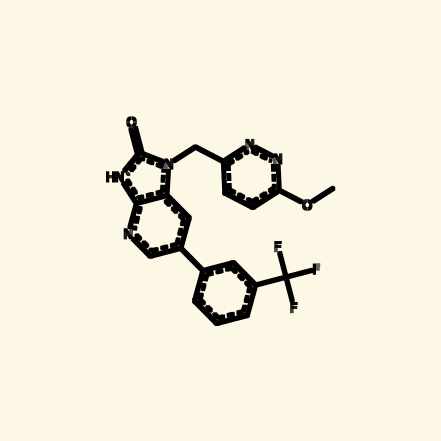 COc1ccc(Cn2c(=O)[nH]c3ncc(-c4cccc(C(F)(F)F)c4)cc32)nn1